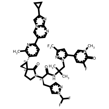 Cc1nc(-c2cnc3nc(C4CC4)cn3c2)ccc1[C@H]1C[C@@]12CCN([C@H](Cc1cnn(C(F)F)c1)C(=O)NC(C)(C)Cn1nc(C(F)(F)F)cc1-c1cc(F)c(=O)n(C)c1)C2=O